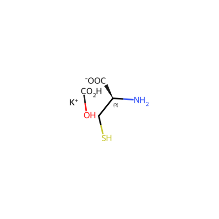 N[C@@H](CS)C(=O)[O-].O=C(O)O.[K+]